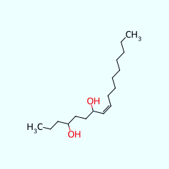 CCCCCCCC/C=C\C(O)CCC(O)CCC